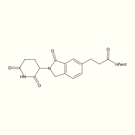 CCCCCC(=O)CCc1ccc2c(c1)C(=O)N(C1CCC(=O)NC1=O)C2